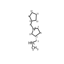 CNC[C@H]1CCN(CC2CCCC2)C1